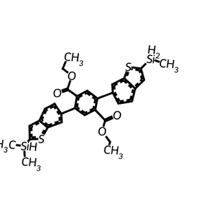 CCOC(=O)c1cc(-c2ccc3cc([SiH](C)C)sc3c2)c(C(=O)OCC)cc1-c1ccc2cc([SiH2]C)sc2c1